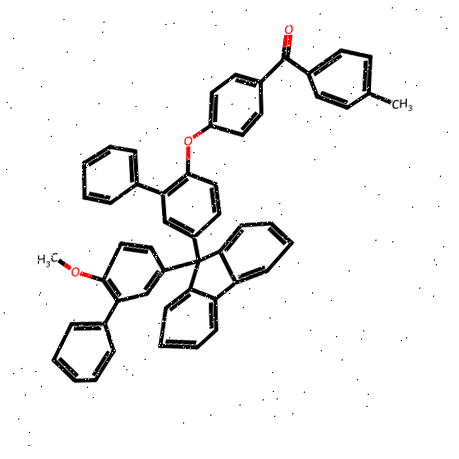 COc1ccc(C2(c3ccc(Oc4ccc(C(=O)c5ccc(C)cc5)cc4)c(-c4ccccc4)c3)c3ccccc3-c3ccccc32)cc1-c1ccccc1